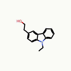 CCn1c2ccccc2c2cc(CCO)ccc21